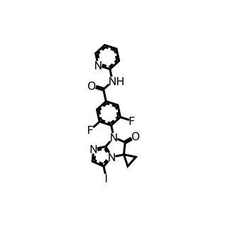 O=C(Nc1ccccn1)c1cc(F)c(N2C(=O)C3(CC3)n3c(I)cnc32)c(F)c1